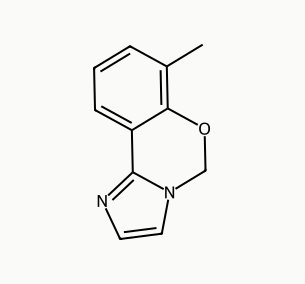 Cc1cccc2c1OCn1ccnc1-2